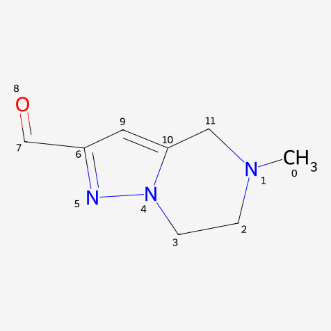 CN1CCn2nc(C=O)cc2C1